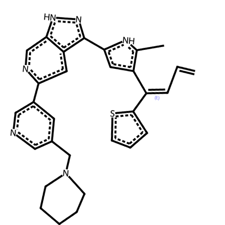 C=C/C=C(/c1cccs1)c1cc(-c2n[nH]c3cnc(-c4cncc(CN5CCCCC5)c4)cc23)[nH]c1C